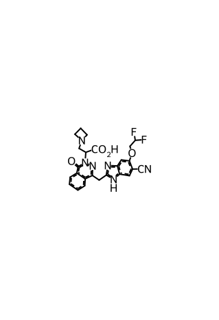 N#Cc1cc2[nH]c(Cc3nn(C(CN4CCC4)C(=O)O)c(=O)c4ccccc34)nc2cc1OCC(F)F